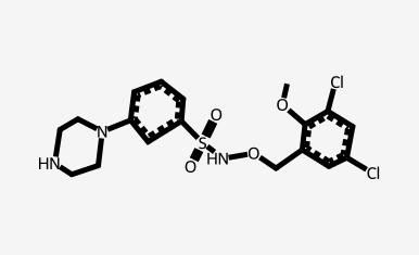 COc1c(Cl)cc(Cl)cc1CONS(=O)(=O)c1cccc(N2CCNCC2)c1